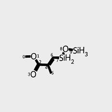 COC(=O)C(C)=C[SiH2]O[SiH3]